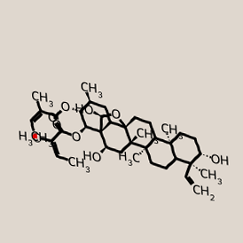 C=C[C@@]1(C)C2CC[C@]3(C)C(CC[C@]45O[C@H](O)[C@]6(C4C[C@H](C)[C@@H](OC(=O)/C(C)=C\C)[C@@H]6OC(=O)/C(C)=C\C)[C@H](O)C[C@]53C)[C@@]2(C)CC[C@@H]1O